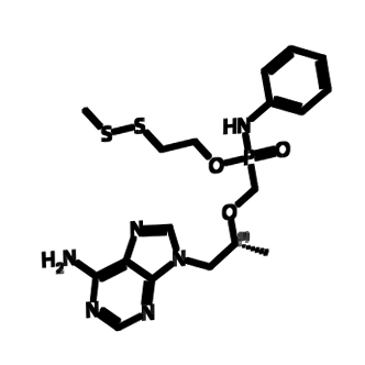 CSSCCOP(=O)(CO[C@H](C)Cn1cnc2c(N)ncnc21)Nc1ccccc1